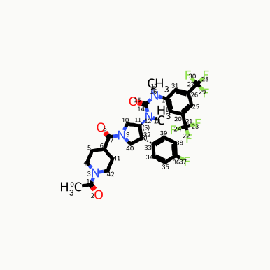 CC(=O)N1CCC(C(=O)N2C[C@@H](N(C)C(=O)N(C)c3cc(C(F)(F)F)cc(C(F)(F)F)c3)[C@H](c3ccc(F)cc3)C2)CC1